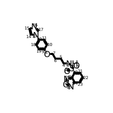 O=S(=O)(NCCCCOc1ccc(-n2ccnc2)cc1)c1cccc2nonc12